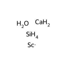 O.[CaH2].[Sc].[SiH4]